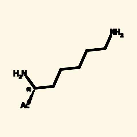 CC(=O)[C@H](N)CCCCCN